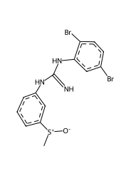 C[S+]([O-])c1cccc(NC(=N)Nc2cc(Br)ccc2Br)c1